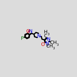 Cc1nc(C)n(C)c(=O)c1CCN1CCC(c2noc3cc(F)ccc23)CC1